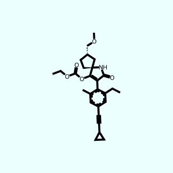 CCOC(=O)OC1=C(c2c(C)cc(C#CC3CC3)cc2CC)C(=O)N[C@]12CC[C@H](COC)C2